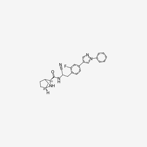 N#CC(Cc1ccc(-c2cnn(-c3ccccc3)c2)cc1F)NC(=O)[C@H]1N[C@@H]2CCC1C2